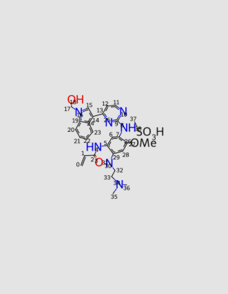 C=CC(=O)Nc1cc(Nc2nccc(-c3cn(CO)c4ccccc34)n2)c(OC)cc1N(C)CCN(C)C.CS(=O)(=O)O